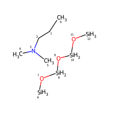 CCCN(C)C.[SiH3]O[SiH2]O[SiH2]O[SiH3]